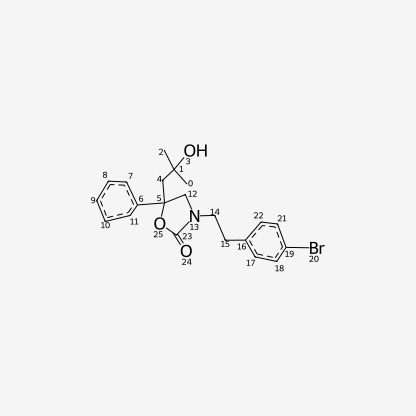 CC(C)(O)CC1(c2ccccc2)CN(CCc2ccc(Br)cc2)C(=O)O1